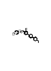 [CH2-][C+]1CCC(OOCc2ccc(C3CCC(C4CCC(CC)CC4)CC3)cc2F)CC1